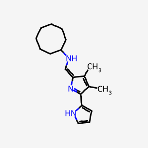 CC1=C(C)/C(=C\NC2CCCCCCC2)N=C1c1ccc[nH]1